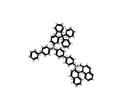 CC1C=Cc2ccccc2C1c1c(Nc2ccc(-c3ccc(N(c4ccc(-c5ccccc5)cc4)c4ccc5c(c4)C(c4ccccc4)(c4ccccc4)c4ccccc4-5)cc3)cc2)ccc2ccccc12